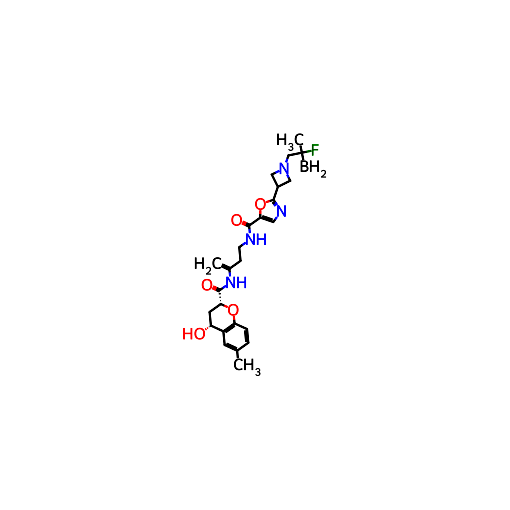 BC(C)(F)CN1CC(c2ncc(C(=O)NCCC(=C)NC(=O)[C@H]3C[C@@H](O)c4cc(C)ccc4O3)o2)C1